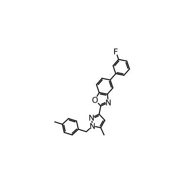 Cc1ccc(Cn2nc(-c3nc4cc(-c5cccc(F)c5)ccc4o3)cc2C)cc1